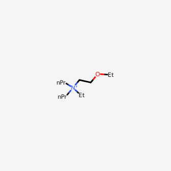 CCC[N+](CC)(CCC)CCOCC